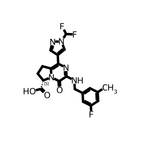 Cc1cc(F)cc(CNc2nc(-c3cnn(C(F)F)c3)c3n(c2=O)[C@H](C(=O)O)CC3)c1